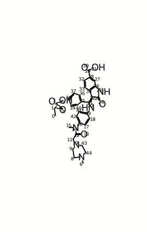 CCS(=O)(=O)O.CN1CCN(CC(=O)N(C)c2ccc(N/C(=C3\C(=O)Nc4cc(C(=O)O)ccc43)c3ccccc3)cc2)CC1